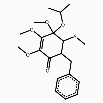 COC1=C(OC)C(OC)(OC(C)C)C(SC)C(Cc2ccccc2)C1=O